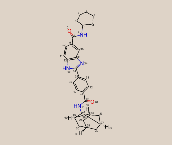 O=C(NC1CCCCC1)c1ccc2[nH]c(-c3ccc(C(=O)NC4[C@H]5C[C@@H]6C[C@@H](C[C@H]4C6)C5)cc3)nc2c1